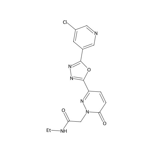 CCNC(=O)Cn1nc(-c2nnc(-c3cncc(Cl)c3)o2)ccc1=O